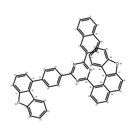 c1ccc2cc(-c3nc(-c4ccc(-c5cccc6oc7ccccc7c56)cc4)nc(-c4cccc5ccc6oc7ccccc7c6c45)n3)ccc2c1